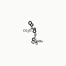 CCOC(=O)CC(c1ccc2ccccc2c1)n1ccc2cc(OCCc3ccc4c(n3)N(C(=O)OC(C)(C)C)CCC4)ccc21